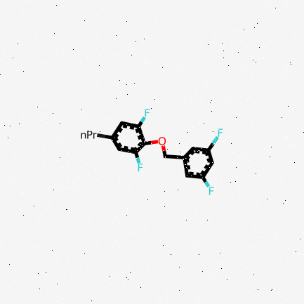 CCCc1cc(F)c(OCc2cc(F)cc(F)c2)c(F)c1